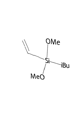 C=C[Si](OC)(OC)C(C)CC